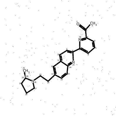 CC(=O)c1cccc(-c2ccc3cc(CCN4CCC[C@H]4C)ccc3n2)n1